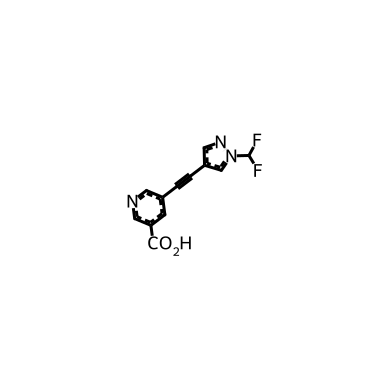 O=C(O)c1cncc(C#Cc2cnn(C(F)F)c2)c1